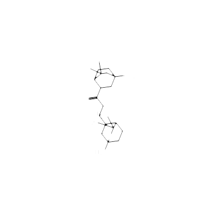 CC12CCC(C(CCC(=O)C3CC4(C)CCC3C(C)(C)C4)C1)C(C)(C)C2